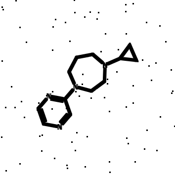 c1cnc(N2CCCN(C3CC3)CC2)cn1